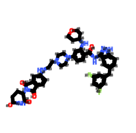 O=C1CCC(N2C(=O)c3ccc(NCCN4CCN(c5ccc(C(=O)Nc6n[nH]c7ccc(Cc8cc(F)cc(F)c8)cc67)c(NC6CCOCC6)c5)CC4)cc3C2=O)C(=O)N1